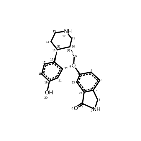 O=C1NCc2ccc(OC[C@H]3CNCC[C@@H]3c3ccc(O)cc3)cc21